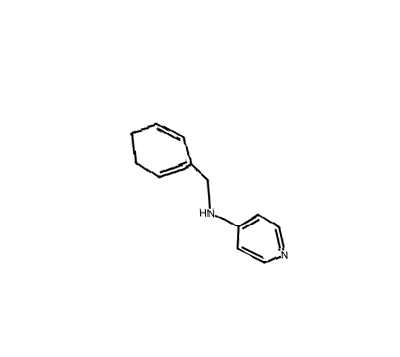 C1=CC(CNc2ccncc2)=CCC1